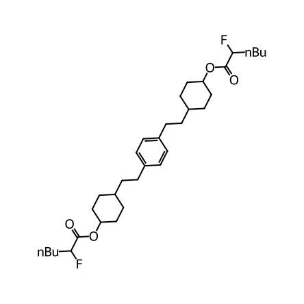 CCCCC(F)C(=O)OC1CCC(CCc2ccc(CCC3CCC(OC(=O)C(F)CCCC)CC3)cc2)CC1